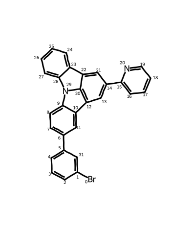 Brc1cccc(-c2ccc3c(c2)c2cc(-c4ccccn4)cc4c5ccccc5n3c42)c1